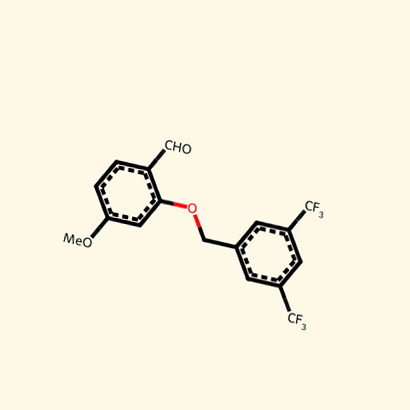 COc1ccc(C=O)c(OCc2cc(C(F)(F)F)cc(C(F)(F)F)c2)c1